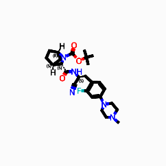 CN1CCN(c2ccc(C[C@@H](C#N)NC(=O)[C@@H]3[C@H]4CC[C@H](C4)N3C(=O)OC(C)(C)C)c(F)c2)CC1